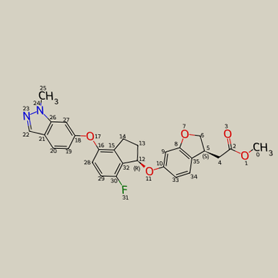 COC(=O)C[C@@H]1COc2cc(O[C@@H]3CCc4c(Oc5ccc6cnn(C)c6c5)ccc(F)c43)ccc21